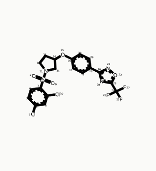 O=S(=O)(c1ccc(Cl)cc1Cl)N1CCC(Oc2ccc(-c3noc(C(F)(F)F)n3)cc2)C1